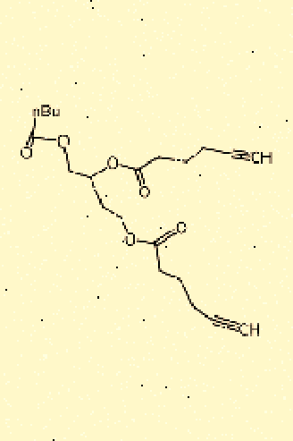 C#CCCCC(=O)OCCC(COC(=O)CCCC)OC(=O)CCCC#C